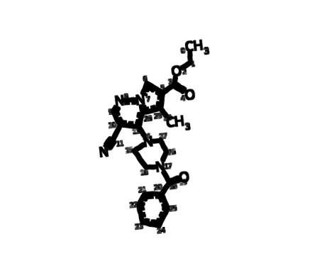 CCOC(=O)c1cn2ncc(C#N)c(N3CCN(C(=O)c4ccccc4)CC3)c2c1C